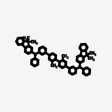 Cc1cc(-c2cccc(N(c3ccccc3)c3ccc4c(c3)C(C)(C)c3ccccc3-4)c2)ccc1-c1ccc(-c2cccc(N(c3ccccc3)c3ccc4c(c3)C(C)(C)c3ccccc3-4)c2)cc1C